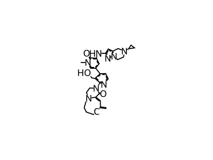 C=C1/C=C2/C(=O)N(c3nccc(-c4cc(Nc5cc6n(n5)CCN(C5CC5)C6)c(=O)n(C)c4)c3CO)CCN2CCCCC1